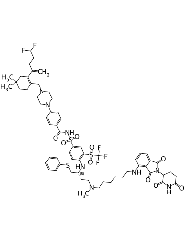 C=C(CCC(F)F)C1=C(CN2CCN(c3ccc(C(=O)NS(=O)(=O)c4ccc(N[C@H](CCN(C)CCCCCCNc5cccc6c5C(=O)N(C5CCC(=O)NC5=O)C6=O)CSc5ccccc5)c(S(=O)(=O)C(F)(F)F)c4)cc3)CC2)CCC(C)(C)C1